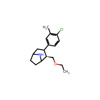 CCOC[C@H]1C2CCC(CC1c1ccc(Cl)c(C)c1)N2